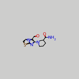 NC(=O)C1CCCN(c2nc3sccn3c2C=O)C1